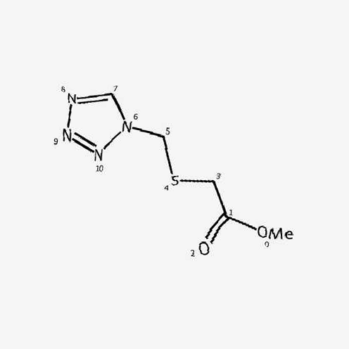 COC(=O)CSCn1cnnn1